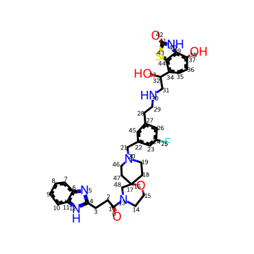 O=C(CCc1nc2ccccc2[nH]1)N1CCOC2(CCN(Cc3cc(F)cc(CCNCC(O)c4ccc(O)c5[nH]c(=O)sc45)c3)CC2)C1